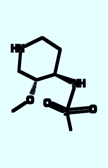 CO[C@@H]1CNCC[C@H]1NS(C)(=O)=O